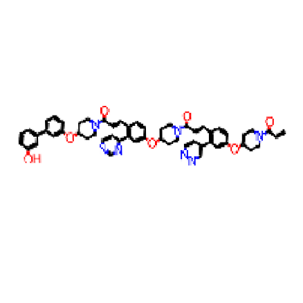 C=CC(=O)N1CCC(Oc2ccc(/C=C/C(=O)N3CCC(Oc4ccc(/C=C/C(=O)N5CCC(Oc6cccc(-c7cccc(O)c7)c6)CC5)c(-c5ccncn5)c4)CC3)c(-c3ccnnc3)c2)CC1